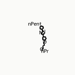 CCCCCc1ccc(-c2ncc(-c3ccc(OCCCCOCCC)cc3)cn2)cc1